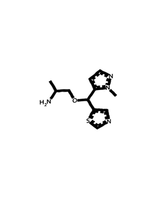 CC(N)COC(c1cncs1)c1ccnn1C